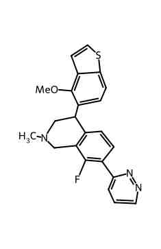 COc1c(C2CN(C)Cc3c2ccc(-c2cccnn2)c3F)ccc2sccc12